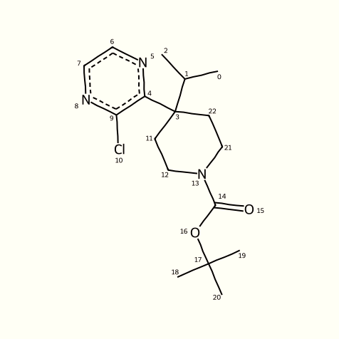 CC(C)C1(c2nccnc2Cl)CCN(C(=O)OC(C)(C)C)CC1